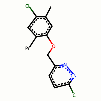 Cc1cc(OCc2ccc(Cl)nn2)c(C(C)C)cc1Cl